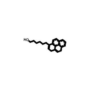 OCCCCCCC1=CCC2=CCc3cccc4ccc1c2c34